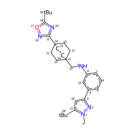 Cn1nc(-c2cccc(NCC34CCC(c5noc(C(C)(C)C)n5)(CC3)CC4)c2)cc1C(C)(C)C